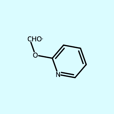 O=[C]Oc1ccccn1